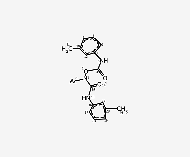 CC(=O)N(OC(=O)Nc1cccc(C)c1)C(=O)Nc1cccc(C)c1